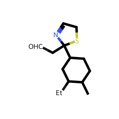 CCC1CC(C2(CC=O)N=CCS2)CCC1C